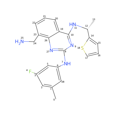 Cc1cc(F)cc(Nc2nc(N[C@H](C)c3cccs3)c3cccc(CN)c3n2)c1